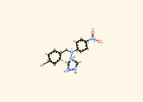 O=[N+]([O-])c1ccc(N(Cc2ccc(I)cc2)n2cnnc2)cc1